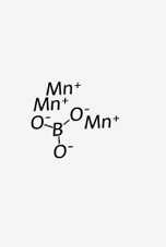 [Mn+].[Mn+].[Mn+].[O-]B([O-])[O-]